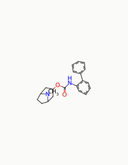 CN1C2CCC1CC(OC(=O)Nc1ccccc1-c1ccccc1)C2